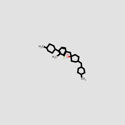 Cc1c(C2CCC(C)CC2)ccc(CC2(O)CCC(CC3CCC(C)CC3)CC2)c1F